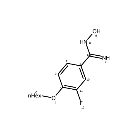 CCCCCCOc1ccc(C(=N)NO)cc1F